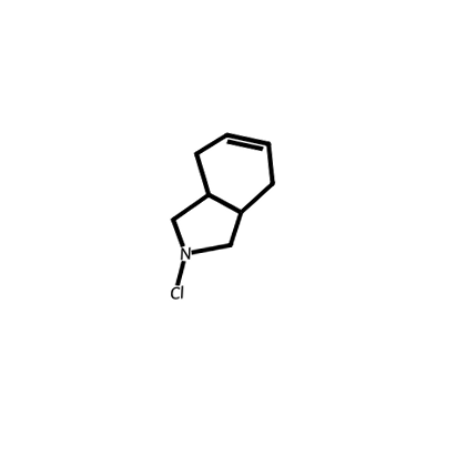 ClN1CC2CC=CCC2C1